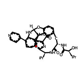 COC(=O)c1nc2oc1C13c4cc(ccc4O[C@@H]1Nc1c(-c4ccncc4)cccc13)C[C@H](NC(=O)[C@@H](O)C(C)C)C(=O)N[C@H]2C(C)C